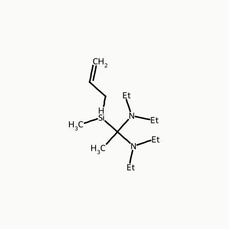 C=CC[SiH](C)C(C)(N(CC)CC)N(CC)CC